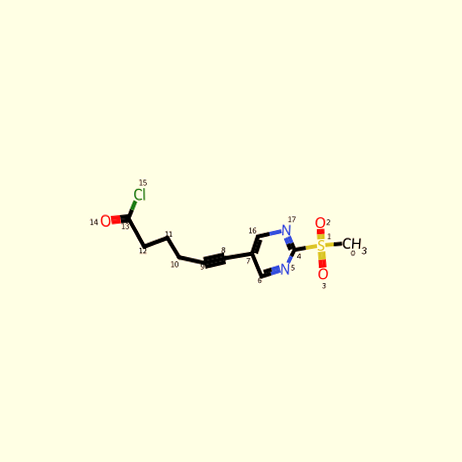 CS(=O)(=O)c1ncc(C#CCCCC(=O)Cl)cn1